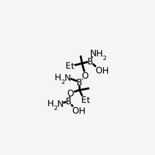 CCC(C)(OB(N)C(C)(CC)OB(N)O)B(N)O